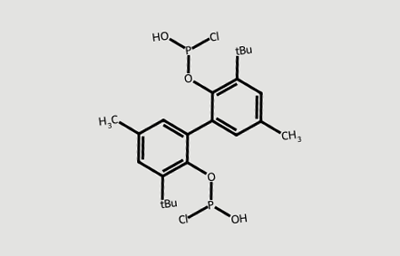 Cc1cc(-c2cc(C)cc(C(C)(C)C)c2OP(O)Cl)c(OP(O)Cl)c(C(C)(C)C)c1